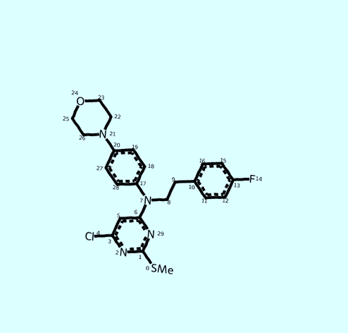 CSc1nc(Cl)cc(N(CCc2ccc(F)cc2)c2ccc(N3CCOCC3)cc2)n1